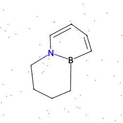 C1=CB2CCCCN2C=C1